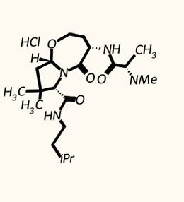 CN[C@@H](C)C(=O)N[C@H]1CCO[C@H]2CC(C)(C)[C@@H](C(=O)NCCC(C)C)N2C1=O.Cl